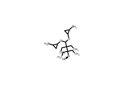 BC1CC1OC(OC1CC1B)C(CC)(CC)C(CC)(CC)N=P